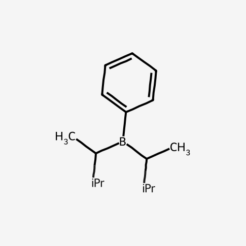 CC(C)C(C)B(c1ccccc1)C(C)C(C)C